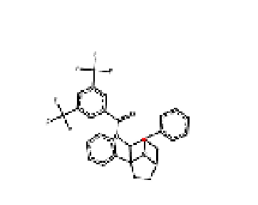 O=C(OC1CCC2CCC1(c1ccccc1)N2Cc1ccccc1)c1cc(C(F)(F)F)cc(C(F)(F)F)c1